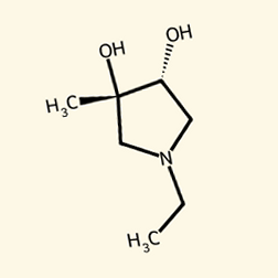 CCN1C[C@@H](O)[C@@](C)(O)C1